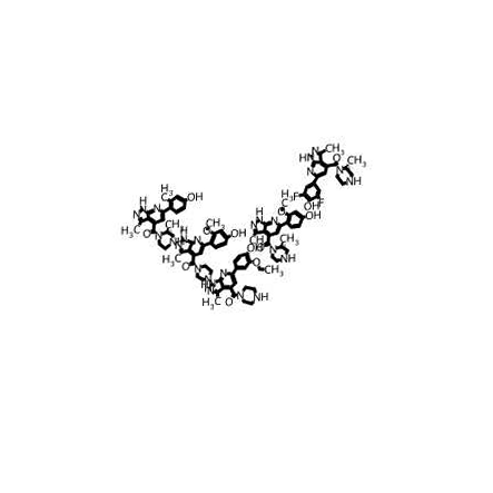 CCOc1cc(-c2cc(C(=O)N3CCNCC3)c3c(C)n[nH]c3n2)ccc1O.COc1cc(O)ccc1-c1cc(C(=O)N2CCNCC2)c2c(C)n[nH]c2n1.COc1cc(O)ccc1-c1cc(C(=O)N2CCNC[C@@H]2C)c2c(C)n[nH]c2n1.Cc1cc(O)ccc1-c1cc(C(=O)N2CCNC[C@@H]2C)c2c(C)n[nH]c2n1.Cc1n[nH]c2nc(-c3cc(F)c(O)c(F)c3)cc(C(=O)N3CCNC[C@@H]3C)c12